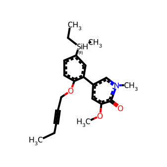 CCC#CCOc1ccc([Si@H](C)CC)cc1-c1cc(OC)c(=O)n(C)c1